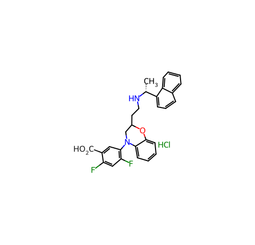 C[C@@H](NCCC1CN(c2cc(C(=O)O)c(F)cc2F)c2ccccc2O1)c1cccc2ccccc12.Cl